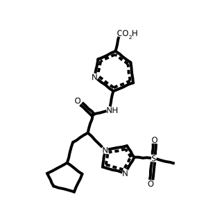 CS(=O)(=O)c1cn(C(CC2CCCC2)C(=O)Nc2ccc(C(=O)O)cn2)cn1